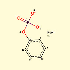 O=P([O-])([O-])Oc1ccccc1.[Fe+2]